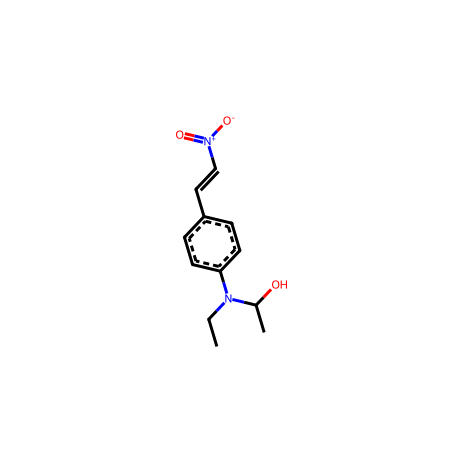 CCN(c1ccc(/C=C/[N+](=O)[O-])cc1)C(C)O